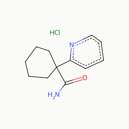 Cl.NC(=O)C1(c2ccccn2)CCCCC1